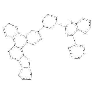 c1ccc(-c2nc(-c3cccc(-c4ccc5c(c4)c4ccccc4c4ccc6c7ccccc7sc6c45)c3)nc3ccccc23)cc1